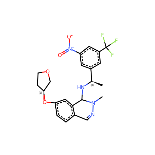 C[C@@H](NC1c2cc(O[C@H]3CCOC3)ccc2C=NN1C)c1cc([N+](=O)[O-])cc(C(F)(F)F)c1